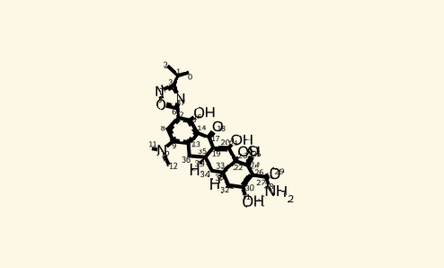 CC(C)c1noc(-c2cc(N(C)C)c3c(c2O)C(=O)C2=C(O)[C@]4(O)C(=O)C(C(N)=O)=C(O)C[C@@H]4C[C@@H]2C3)n1